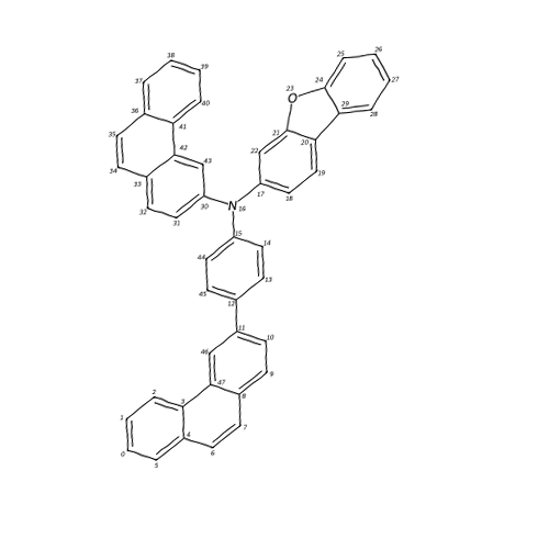 c1ccc2c(c1)ccc1ccc(-c3ccc(N(c4ccc5c(c4)oc4ccccc45)c4ccc5ccc6ccccc6c5c4)cc3)cc12